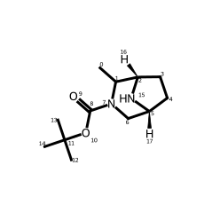 CC1[C@@H]2CC[C@H](CN1C(=O)OC(C)(C)C)N2